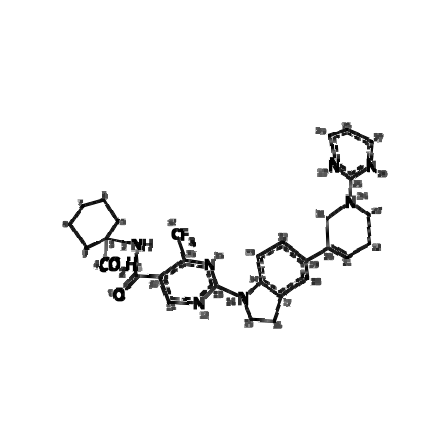 O=C(NC1(C(=O)O)CCCCC1)c1cnc(N2CCc3cc(C4=CCCN(c5ncccn5)C4)ccc32)nc1C(F)(F)F